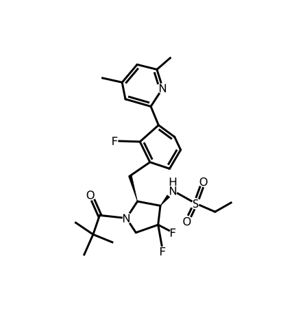 CCS(=O)(=O)N[C@@H]1[C@H](Cc2cccc(-c3cc(C)cc(C)n3)c2F)N(C(=O)C(C)(C)C)CC1(F)F